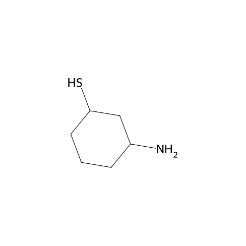 NC1CCCC(S)C1